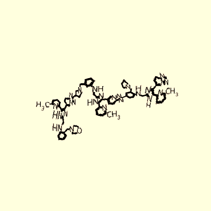 Cc1cccc(-c2[nH]c(CNc3cccc(CN4CCC(c5nc6ccc(-c7nc(CNc8ccccc8CN8CCOCC8)[nH]c7-c7cccc(C)n7)cn6n5)C4)c3)nc2-c2ccc3nc(-c4ccc(NCc5nc(-c6ccc7ncnn7c6)c(-c6cccc(C)n6)[nH]5)c(CN5CCCC5)c4)nn3c2)n1